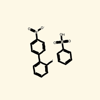 O=S(=O)(O)c1ccccc1.O=[N+]([O-])c1ccc(-c2ccccc2I)cc1